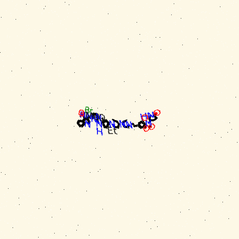 CCc1cc(Nc2ncc(Br)c(Nc3cnc4ccccc4c3P(C)(C)=O)n2)c(OC)cc1N1CCC(N2CCN(CCc3ccc4c(c3)oc(=O)n4C3CCC(=O)NC3=O)CC2)CC1